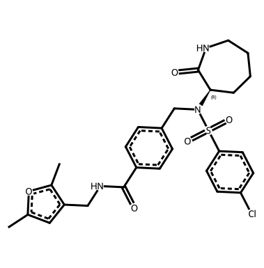 Cc1cc(CNC(=O)c2ccc(CN([C@@H]3CCCCNC3=O)S(=O)(=O)c3ccc(Cl)cc3)cc2)c(C)o1